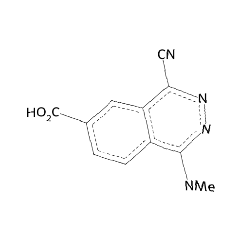 CNc1nnc(C#N)c2cc(C(=O)O)ccc12